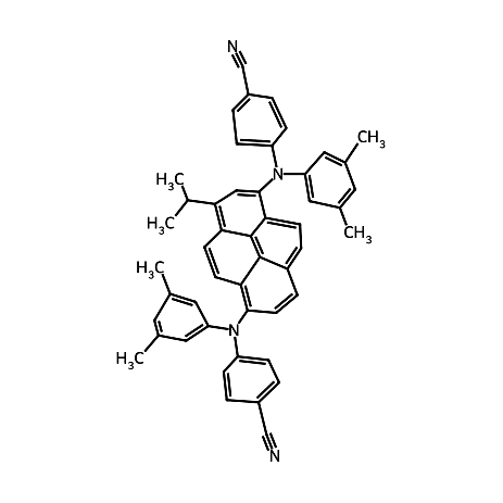 Cc1cc(C)cc(N(c2ccc(C#N)cc2)c2ccc3ccc4c(N(c5ccc(C#N)cc5)c5cc(C)cc(C)c5)cc(C(C)C)c5ccc2c3c54)c1